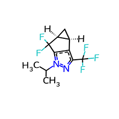 CC(C)n1nc(C(F)(F)F)c2c1C(F)(F)[C@H]1C[C@@H]21